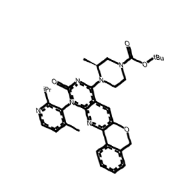 Cc1ccnc(C(C)C)c1-n1c(=O)nc(N2CCN(C(=O)OC(C)(C)C)C[C@@H]2C)c2cc3c(nc21)-c1ccccc1CO3